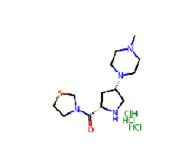 CN1CCN([C@@H]2CN[C@H](C(=O)N3CCSC3)C2)CC1.Cl.Cl.Cl